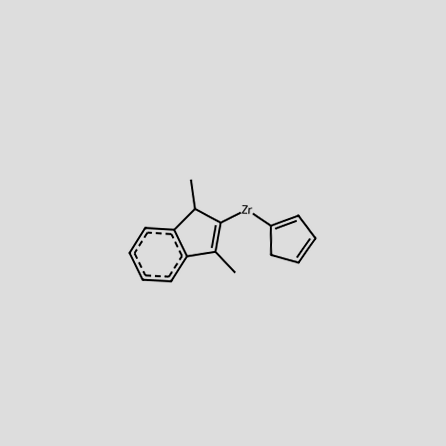 CC1=[C]([Zr][C]2=CC=CC2)C(C)c2ccccc21